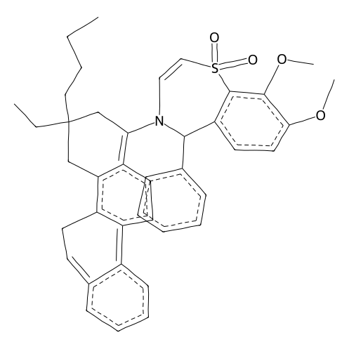 CCCCC1(CC)CC(N2C=CS(=O)(=O)c3c(ccc(OC)c3OC)C2c2ccccc2)=c2ccc3c(c2C1)CC=c1ccccc1=3